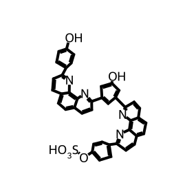 O=S(=O)(O)Oc1ccc(-c2ccc3ccc4ccc(-c5cc(O)cc(-c6ccc7ccc8ccc(-c9ccc(O)cc9)nc8c7n6)c5)nc4c3n2)cc1